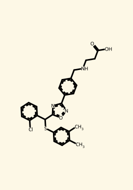 Cc1ccc(SC(c2nc(-c3ccc(CNCCC(=O)O)cc3)no2)c2ccccc2Cl)cc1C